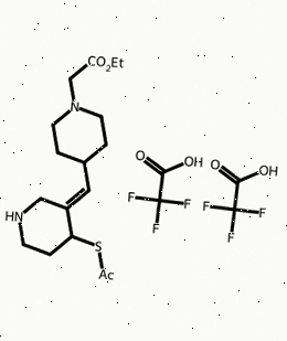 CCOC(=O)CN1CCC(/C=C2\CNCCC2SC(C)=O)CC1.O=C(O)C(F)(F)F.O=C(O)C(F)(F)F